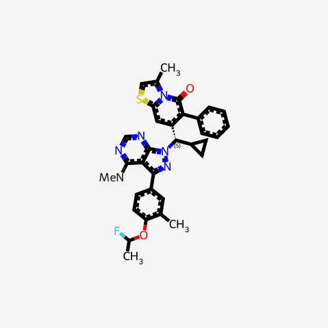 CNc1ncnc2c1c(-c1ccc(OC(C)F)c(C)c1)nn2[C@H](c1cc2scc(C)n2c(=O)c1-c1ccccc1)C1CC1